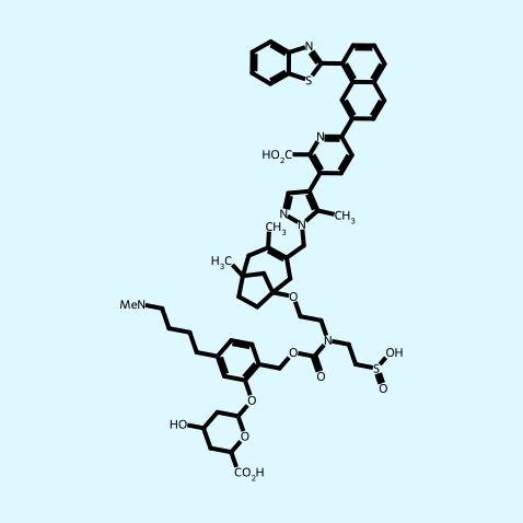 CNCCCCc1ccc(COC(=O)N(CCOC23CCC(C)(CC(C)=C(Cn4ncc(-c5ccc(-c6ccc7cccc(-c8nc9ccccc9s8)c7c6)nc5C(=O)O)c4C)C2)C3)CCS(=O)O)c(OC2CC(O)CC(C(=O)O)O2)c1